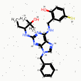 CCC(Nc1nc(NCc2cc(S)ccc2O)c2ncn(Cc3ccccc3)c2n1)C(C)(C)O